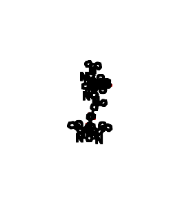 N#Cc1ccc(C#N)c(-n2c3ccc(-c4ccc(-c5ccc6c(c5)c5ccccc5n6-c5ccc6c(c5)c5c7oc8ccccc8c7ccc5n6-c5c(C#N)ccc(C#N)c5-n5c6ccc(-n7c8ccccc8c8ccccc87)cc6c6c7oc8ccccc8c7ccc65)cc4)cc3c3c4oc5ccccc5c4ccc32)c1-n1c2ccc(-c3ccccc3)cc2c2c3oc4ccccc4c3ccc21